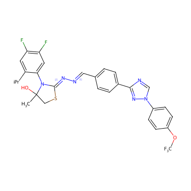 CC(C)c1cc(F)c(F)cc1N1/C(=N/N=C/c2ccc(-c3ncn(-c4ccc(OC(F)(F)F)cc4)n3)cc2)SCC1(C)O